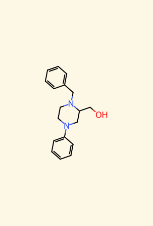 OCC1CN(c2ccccc2)CCN1Cc1ccccc1